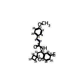 COc1ccc(/C=C/C(=O)NC2CC3(CCC3)Oc3ccc(F)cc32)cc1